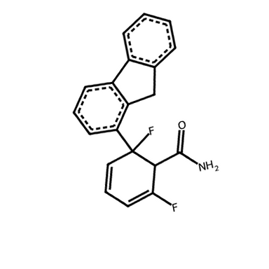 NC(=O)C1C(F)=CC=CC1(F)c1cccc2c1Cc1ccccc1-2